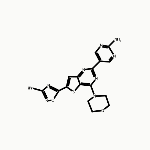 CC(C)c1noc(-c2cc3nc(-c4cnc(N)nc4)nc(N4CCOCC4)c3s2)n1